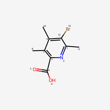 Cc1nc(C(=O)O)c(C)c(C)c1Br